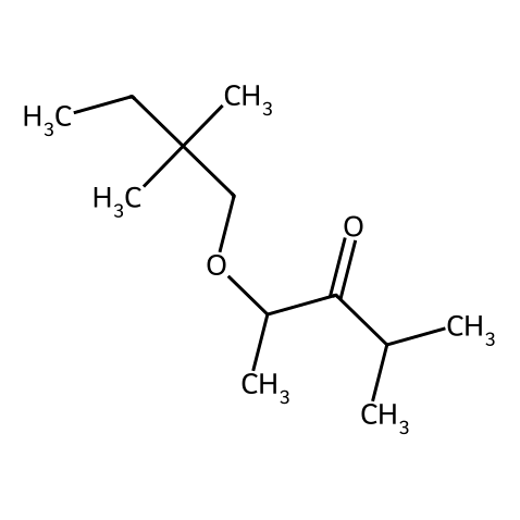 CCC(C)(C)COC(C)C(=O)C(C)C